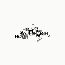 COc1cn([C@@H]2O[C@H](COP(=O)(O)O)[C@@H](O)[C@H]2O)c(=O)nc1N